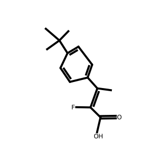 C/C(=C(/F)C(=O)O)c1ccc(C(C)(C)C)cc1